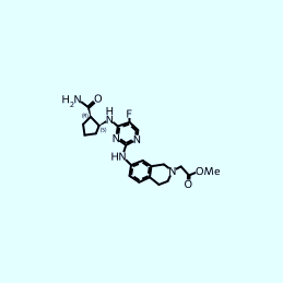 COC(=O)CN1CCc2ccc(Nc3ncc(F)c(N[C@H]4CCC[C@H]4C(N)=O)n3)cc2C1